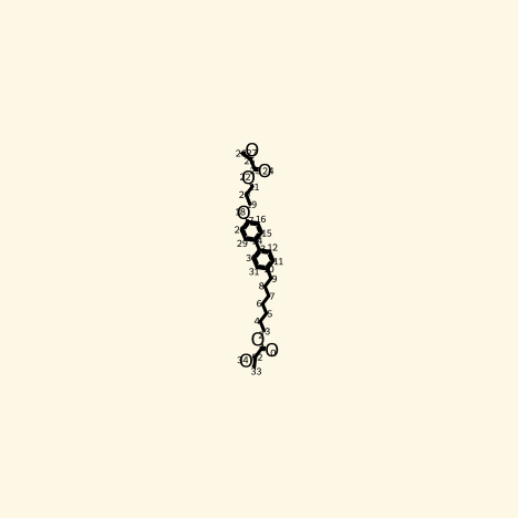 O=C(OCCCCCCCc1ccc(-c2ccc(OCCCOC(=O)C3CO3)cc2)cc1)C1CO1